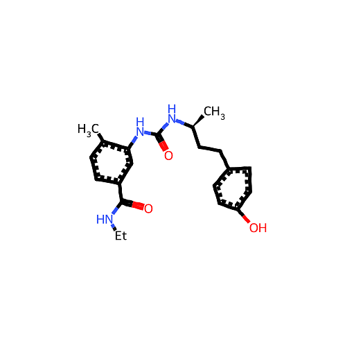 CCNC(=O)c1ccc(C)c(NC(=O)N[C@@H](C)CCc2ccc(O)cc2)c1